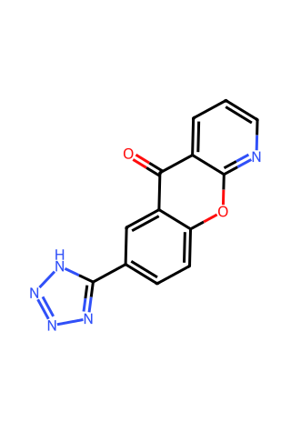 O=c1c2cc(-c3nnn[nH]3)ccc2oc2ncccc12